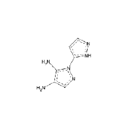 Nc1cnn(-c2ccn[nH]2)c1N